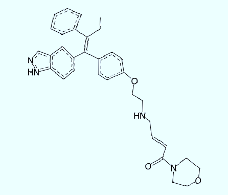 CCC(=C(c1ccc(OCCNCC=CC(=O)N2CCOCC2)cc1)c1ccc2[nH]ncc2c1)c1ccccc1